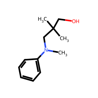 CN(CC(C)(C)CO)c1ccccc1